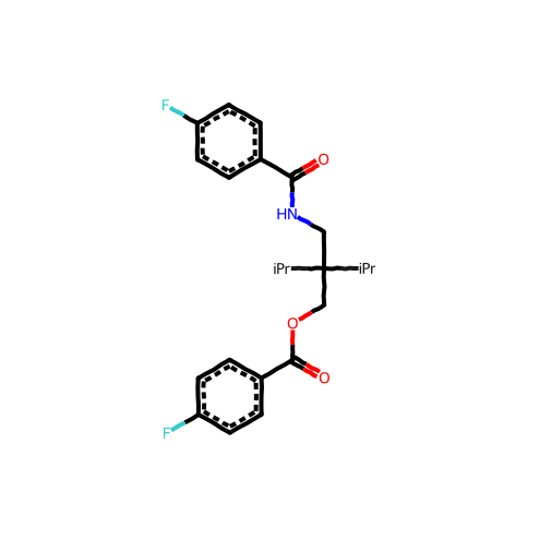 CC(C)C(CNC(=O)c1ccc(F)cc1)(COC(=O)c1ccc(F)cc1)C(C)C